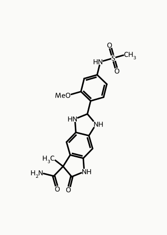 COc1cc(NS(C)(=O)=O)ccc1C1Nc2cc3c(cc2N1)C(C)(C(N)=O)C(=O)N3